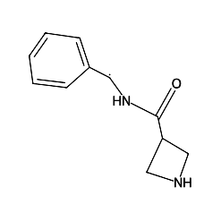 O=C(N[CH]c1ccccc1)C1CNC1